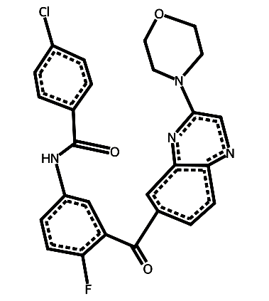 O=C(Nc1ccc(F)c(C(=O)c2ccc3ncc(N4CCOCC4)nc3c2)c1)c1ccc(Cl)cc1